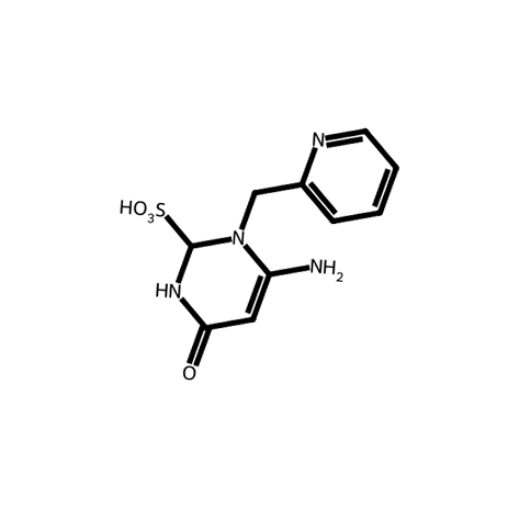 NC1=CC(=O)NC(S(=O)(=O)O)N1Cc1ccccn1